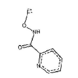 CCONC(=O)c1ccccn1